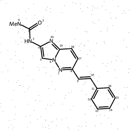 CNC(=O)Nc1cn2nc(/C=C/c3ccccc3)ccc2n1